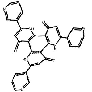 O=c1cc(-c2cccnc2)[nH]c2c1c1[nH]c(-c3cccnc3)cc(=O)c1c1[nH]c(-c3cccnc3)cc(=O)c21